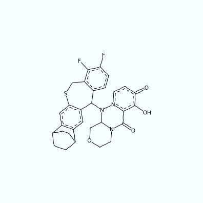 O=C1c2c(O)c(=O)ccn2N(C2c3cc4c(cc3SCc3c2ccc(F)c3F)C2CCC4CC2)C2COCCN12